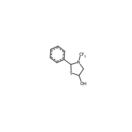 OC1CN(C(F)(F)F)C(c2ccccc2)S1